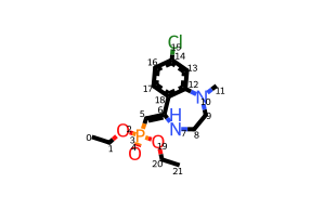 CCOP(=O)(C=C1NCCN(C)c2cc(Cl)ccc21)OCC